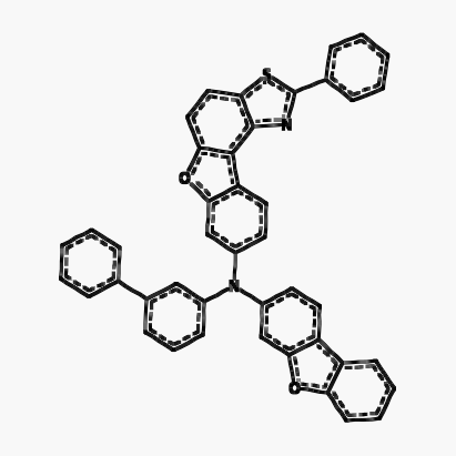 c1ccc(-c2cccc(N(c3ccc4c(c3)oc3ccccc34)c3ccc4c(c3)oc3ccc5sc(-c6ccccc6)nc5c34)c2)cc1